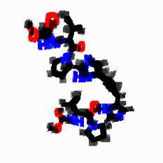 COC(=O)N[C@H](C(=O)N1CCC[C@H]1c1ncc(C#CCc2cnc([C@@H]3CCCN3C(=O)[C@@H](NC(=O)OC)C(C)C)[nH]2)[nH]1)C(C)C